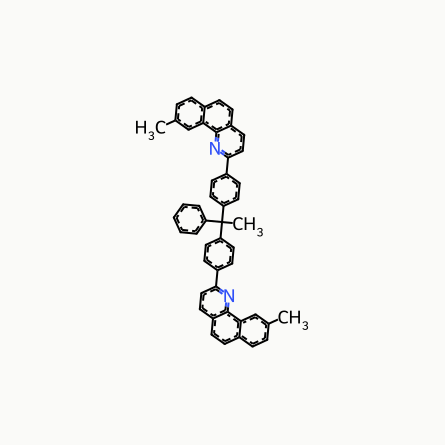 Cc1ccc2ccc3ccc(-c4ccc(C(C)(c5ccccc5)c5ccc(-c6ccc7ccc8ccc(C)cc8c7n6)cc5)cc4)nc3c2c1